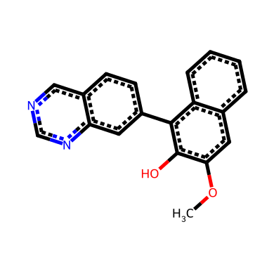 COc1cc2ccccc2c(-c2ccc3cncnc3c2)c1O